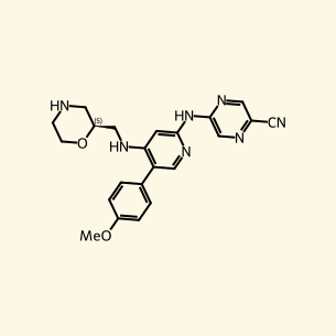 COc1ccc(-c2cnc(Nc3cnc(C#N)cn3)cc2NC[C@@H]2CNCCO2)cc1